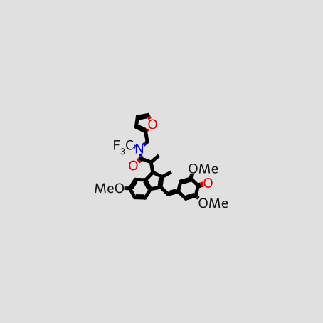 COC1=CC(=CC2=C(C)C(C(C)C(=O)N(Cc3ccco3)C(F)(F)F)c3cc(OC)ccc32)C=C(OC)C1=O